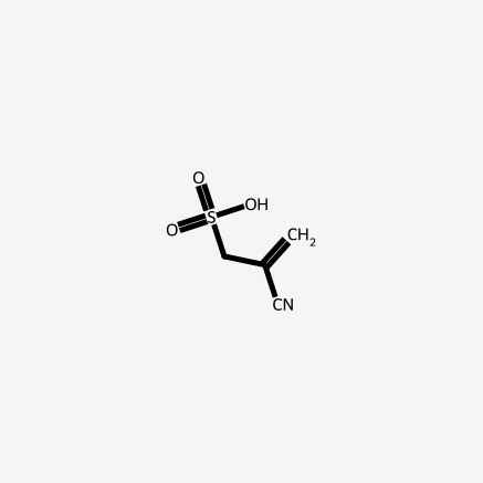 C=C(C#N)CS(=O)(=O)O